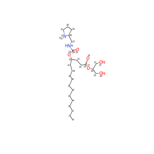 CCCCCCCCCCCCC(CCC(=O)OC(CO)CO)OC(=O)NCC1CCCN1C